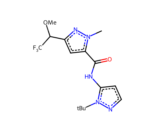 COC(c1cc(C(=O)Nc2ccnn2C(C)(C)C)n(C)n1)C(F)(F)F